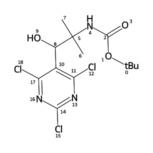 CC(C)(C)OC(=O)NC(C)(C)C(O)c1c(Cl)nc(Cl)nc1Cl